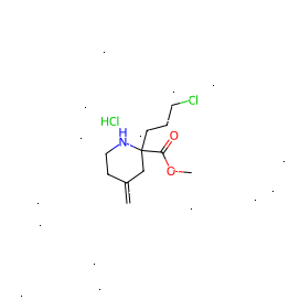 C=C1CCNC(CCCCl)(C(=O)OC)C1.Cl